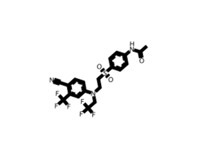 CC(=O)Nc1ccc(S(=O)(=O)CCN(CC(F)(F)F)c2ccc(C#N)c(C(F)(F)F)c2)cc1